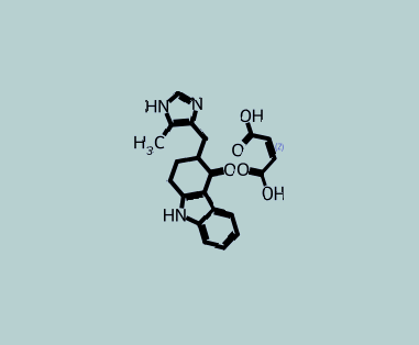 Cc1[nH]cnc1CC1CCc2[nH]c3ccccc3c2C1=O.O=C(O)/C=C\C(=O)O